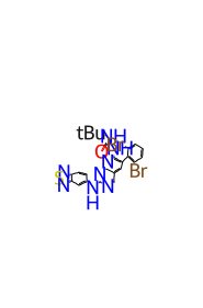 CC(C)(C)NC(=O)Nc1nc2nc(Nc3ccc4nsnc4c3)ncc2cc1-c1c(Br)cccc1Br